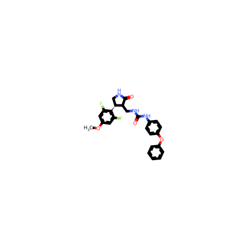 COc1cc(F)c([C@@H]2CNC(=O)C2CNC(=O)Nc2ccc(Oc3ccccc3)cc2)c(F)c1